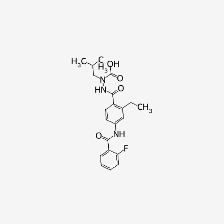 CCc1cc(NC(=O)c2ccccc2F)ccc1C(=O)NN(CC(C)C)C(=O)O